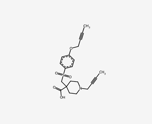 CC#CCOc1ccc(S(=O)(=O)CC2(C(=O)O)CCN(CC#CC)CC2)cc1